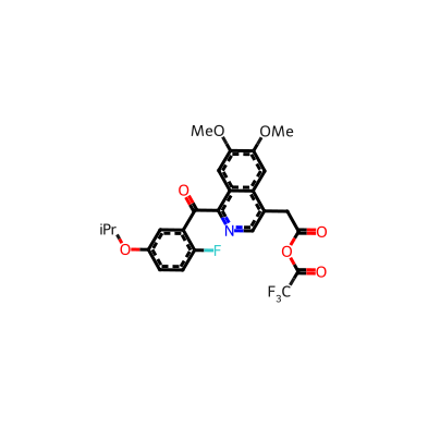 COc1cc2c(CC(=O)OC(=O)C(F)(F)F)cnc(C(=O)c3cc(OC(C)C)ccc3F)c2cc1OC